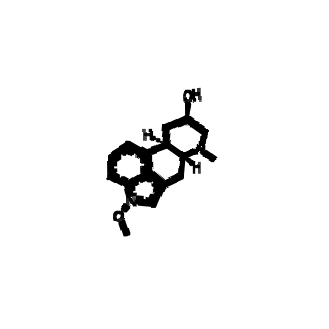 COn1cc2c3c(cccc31)[C@H]1C[C@@H](O)CN(C)[C@@H]1C2